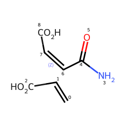 C=CC(=O)O.NC(=O)/C=C\C(=O)O